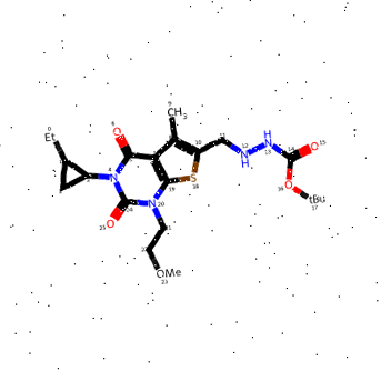 CCC1CC1n1c(=O)c2c(C)c(CNNC(=O)OC(C)(C)C)sc2n(CCOC)c1=O